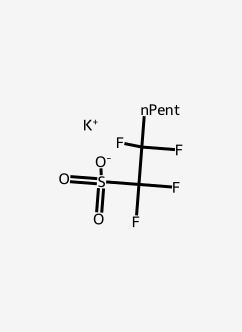 CCCCCC(F)(F)C(F)(F)S(=O)(=O)[O-].[K+]